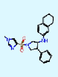 Cn1cnc(S(=O)(=O)N2CC(Nc3ccc4c(c3)CCCC4)C(c3ccccc3)C2)c1